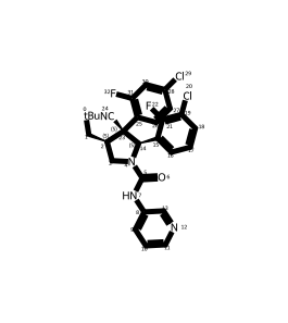 CC(C)(C)C[C@@H]1CN(C(=O)Nc2cccnc2)[C@H](c2cccc(Cl)c2F)[C@@]1(C#N)c1ccc(Cl)cc1F